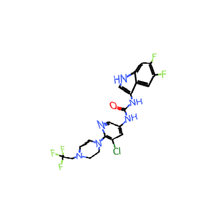 O=C(Nc1cnc(N2CCN(CC(F)(F)F)CC2)c(Cl)c1)Nc1c[nH]c2cc(F)c(F)cc12